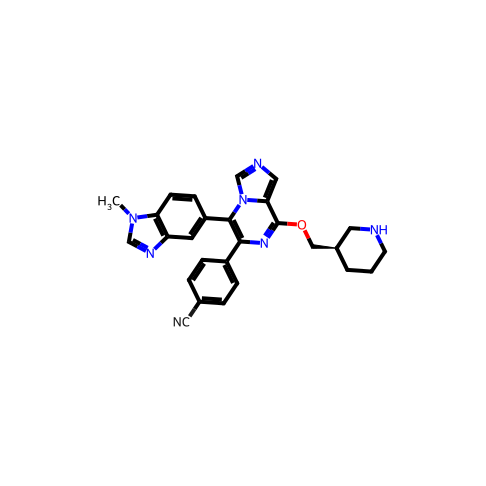 Cn1cnc2cc(-c3c(-c4ccc(C#N)cc4)nc(OC[C@@H]4CCCNC4)c4cncn34)ccc21